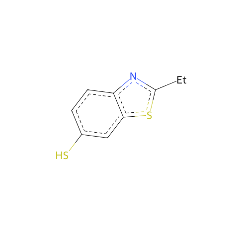 CCc1nc2ccc(S)cc2s1